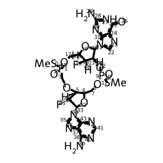 CSP1(=O)CO[C@@H]2C(COP(=O)(SC)O[C@@H]3[C@H](F)[C@@H](CO1)O[C@H]3n1cnc3c(=O)[nH]c(N)nc31)O[C@@H](n1cnc3c(N)ncnc31)[C@@H]2F